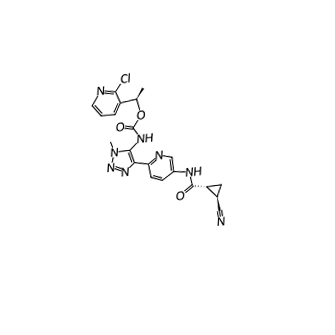 C[C@@H](OC(=O)Nc1c(-c2ccc(NC(=O)[C@@H]3C[C@H]3C#N)cn2)nnn1C)c1cccnc1Cl